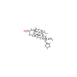 C[C@H](CC1=CCCC1)[C@H]1CC[C@H]2[C@@H]3CC=C4C[C@@H](O)CC[C@@H]4[C@H]3CC[C@]12C